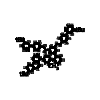 Cc1cc(-c2nccc3c2ccc2cc(C(C)(C)C)ccc23)ccc1-c1ccccc1-c1cc(CCc2ccc(-c3cc(C(C)(C)C)ccn3)cc2)cc(CCc2ccc(-c3cc(C(C)(C)C)ccn3)cc2)c1